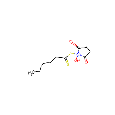 CCCCCC(=S)S[N+]1(O)C(=O)CCC1=O